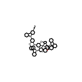 N#Cc1ccc2c(c1)c1ccccc1n2-c1ccc2c(c1)Oc1ccccc1N2c1ccc2c(c1)Oc1cccc(-n3c4ccccc4c4ccccc43)c1C21c2cc(-n3c4ccccc4c4ccccc43)cnc2-c2ncc(-n3c4ccccc4c4ccccc43)cc21